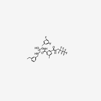 CCc1cccc(CNC[C@@H](O)[C@H](Cc2cc(F)cc(F)c2)NC(=O)c2cc(C)cc(C(=O)NCC(F)(F)C(F)(F)C(F)(F)F)c2)c1